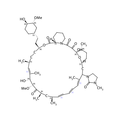 CO[C@@H]1C[C@H](CC[C@@H]2CC[C@H](C)/C=C(\C)[C@@H](O)[C@@H](OC)C(=O)[C@H](C)C[C@H](C)/C=C/C=C/C=C(\C)C(N3CCN(C)C3=O)C[C@@H]3CC[C@@H](C)[C@@](O)(O3)C(=O)C(=O)N3CCCC[C@H]3C(=O)O2)CC[C@H]1O